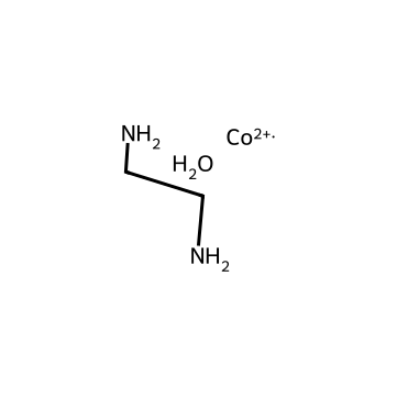 NCCN.O.[Co+2]